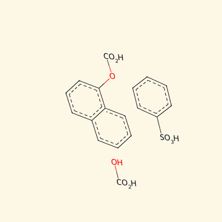 O=C(O)O.O=C(O)Oc1cccc2ccccc12.O=S(=O)(O)c1ccccc1